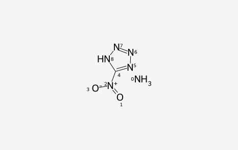 N.O=[N+]([O-])c1nnn[nH]1